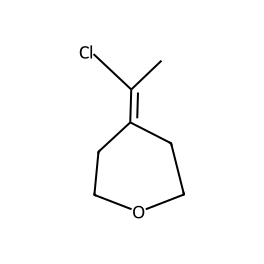 CC(Cl)=C1CCOCC1